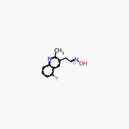 Cc1nc2cccc(F)c2cc1C/C=N/O